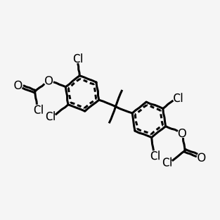 CC(C)(c1cc(Cl)c(OC(=O)Cl)c(Cl)c1)c1cc(Cl)c(OC(=O)Cl)c(Cl)c1